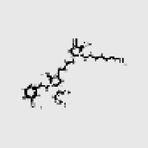 CCCCCCCN1C(=N)NC[C@@H]1CCCCN1C[C@H](C(C)CC)N(CCc2cccc(C)c2)C1=N